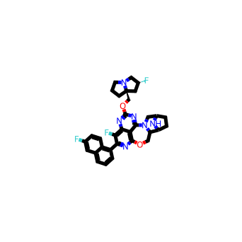 Fc1ccc2c(-c3nc4c5c(nc(OC[C@@]67CCCN6C[C@H](F)C7)nc5c3F)N3CC5CCC(N5)C3CO4)cccc2c1